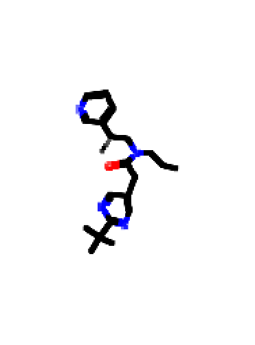 CCCN(C[C@H](C)c1cccnc1)C(=O)Cc1cnc(C(C)(C)C)nc1